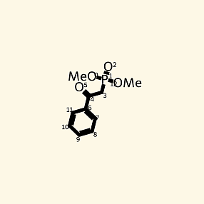 COP(=O)(CC(=O)c1ccccc1)OC